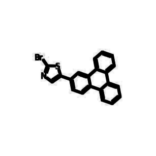 Brc1ncc(-c2ccc3c4ccccc4c4ccccc4c3c2)s1